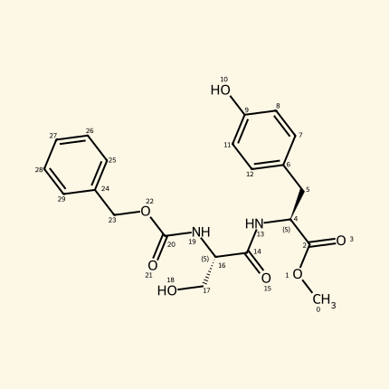 COC(=O)[C@H](Cc1ccc(O)cc1)NC(=O)[C@H](CO)NC(=O)OCc1ccccc1